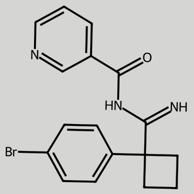 N=C(NC(=O)c1cccnc1)C1(c2ccc(Br)cc2)CCC1